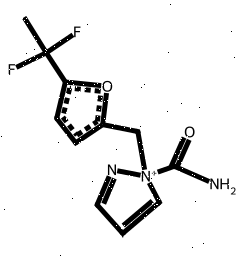 CC(F)(F)c1ccc(C[N+]2(C(N)=O)C=[C]C=N2)o1